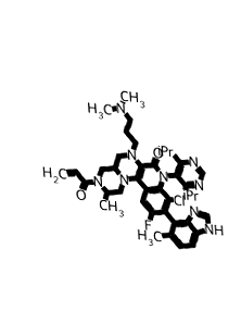 C=CC(=O)N1CC2CN(CCCN(C)C)c3c(c4cc(F)c(-c5c(C)ccc6[nH]cnc56)c(Cl)c4n(-c4c(C(C)C)ncnc4C(C)C)c3=O)N2CC1C